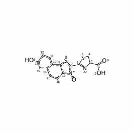 O=C(O)C1CSC(c2sc3c4ccc(O)cc4ccc3[n+]2[O-])=N1